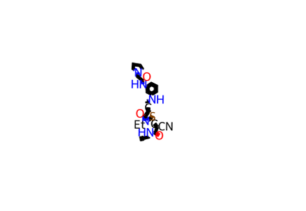 C#CCNC(=O)C(=C=c1sc(=C=CNc2cccc(NC(=O)CN3CCCC3)c2)c(=O)n1CC)C#N